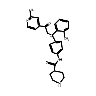 Cc1cc(C(=O)C[C@H](c2ccc(NC(=O)C3CCNCC3)cc2)c2ccccc2C)ccn1